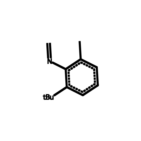 C=Nc1c(C)cccc1C(C)(C)C